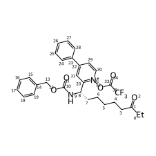 CCC(=O)CCCCC[C@H](NC(=O)OCc1ccccc1)c1cc(-c2ccccc2)cc[n+]1OC(=O)C(F)(F)F